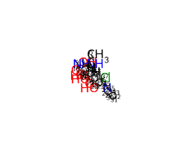 CCCN[C@@H]1C(O)=C(C(N)=O)C(=O)[C@@]2(O)C(O)=C3C(=O)c4c(O)cc(CN5CCc6ccccc6C5)c(Cl)c4C[C@H]3C[C@@H]12